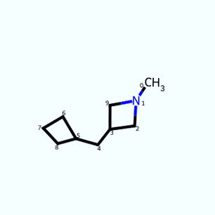 CN1CC(CC2CCC2)C1